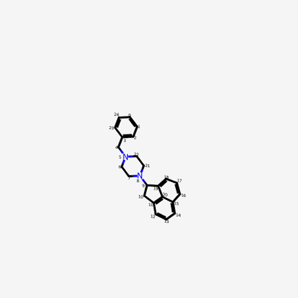 c1ccc(CN2CCN(C3Cc4cccc5cccc3c45)CC2)cc1